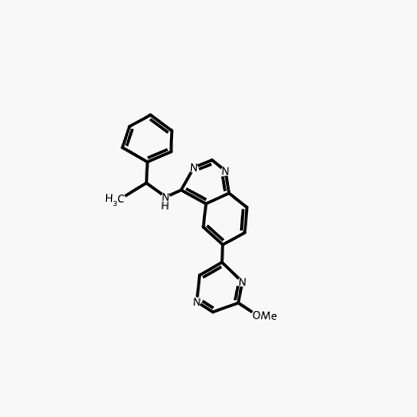 COc1cncc(-c2ccc3ncnc(NC(C)c4ccccc4)c3c2)n1